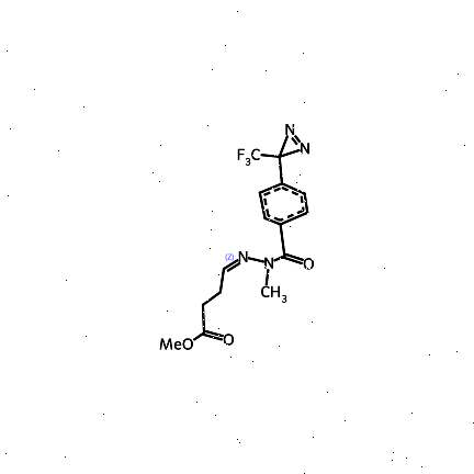 COC(=O)CC/C=N\N(C)C(=O)c1ccc(C2(C(F)(F)F)N=N2)cc1